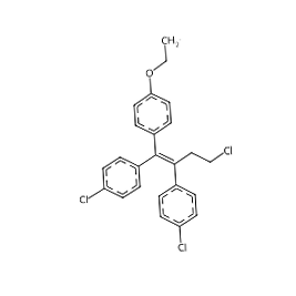 [CH2]COc1ccc(/C(=C(\CCCl)c2ccc(Cl)cc2)c2ccc(Cl)cc2)cc1